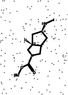 CC(C)(C)OC(=O)N1CC2C[C@H](NI)C[C@@H]2C1